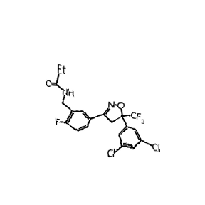 CCC(=O)NCc1cc(C2=NOC(c3cc(Cl)cc(Cl)c3)(C(F)(F)F)C2)ccc1F